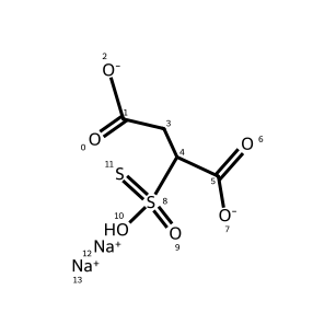 O=C([O-])CC(C(=O)[O-])S(=O)(O)=S.[Na+].[Na+]